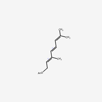 CC(=O)OC/C=C(C)/C=C/C=C(C)C